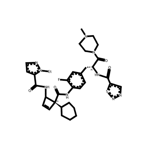 CCn1nccc1C(=O)NC1C=C[C@]1(C(=O)Nc1ccc(C[C@@H](NC(=O)c2cnns2)C(=O)N2CCN(C)CC2)cc1F)C1CCCCC1